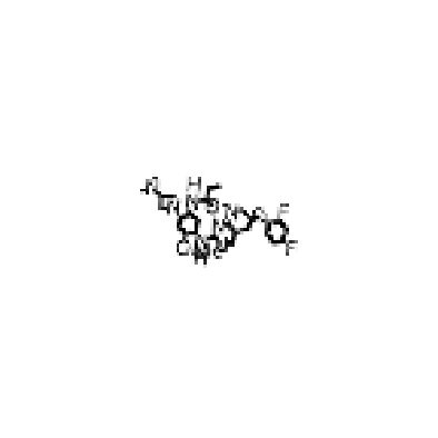 C=CC(=O)Nc1cc(Nc2ncc3c(n2)N(C)CC(Oc2ccc(F)cc2F)=C3)c(OC)cc1N1CC(N(C)C)C1